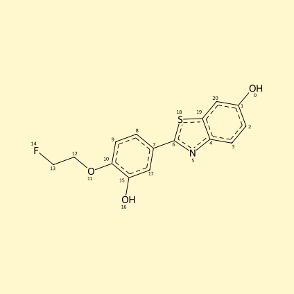 Oc1ccc2nc(-c3ccc(OCCF)c(O)c3)sc2c1